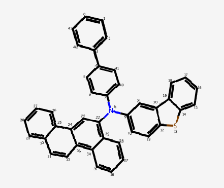 c1ccc(-c2ccc(N(c3ccc4sc5ccccc5c4c3)c3cc4c5ccccc5ccc4c4ccccc34)cc2)cc1